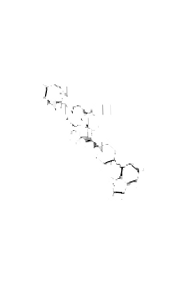 C[C@@H]1CN(c2ncc(F)cn2)C[C@H](C)N1CC(=O)N1CC=C(c2cccc3ccsc23)CC1